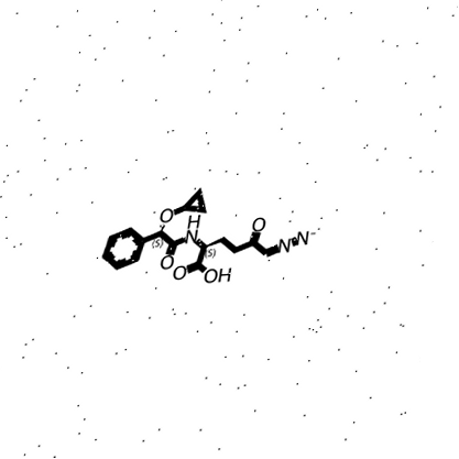 [N-]=[N+]=CC(=O)CC[C@H](NC(=O)[C@@H](OC1CC1)c1ccccc1)C(=O)O